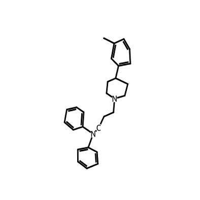 Cc1cccc(C2CCN(CCCN(c3ccccc3)c3ccccc3)CC2)c1